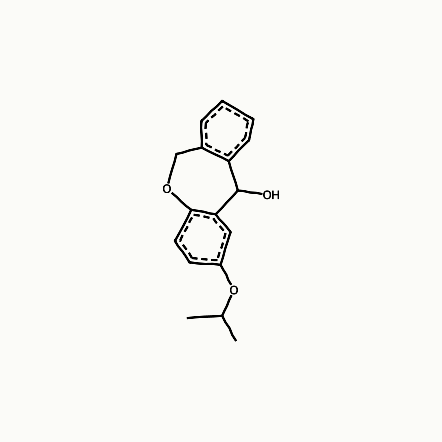 CC(C)Oc1ccc2c(c1)C(O)c1ccccc1CO2